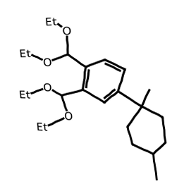 CCOC(OCC)c1ccc(C2(C)CCC(C)CC2)cc1C(OCC)OCC